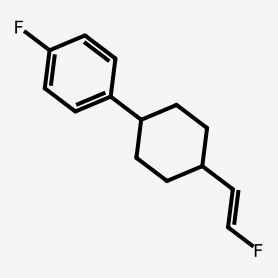 FC=CC1CCC(c2ccc(F)cc2)CC1